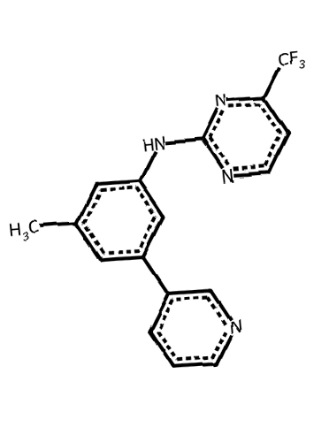 Cc1cc(Nc2nccc(C(F)(F)F)n2)cc(-c2cccnc2)c1